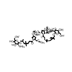 COOP(=O)(OC(C)C)O[C@@H]1C[C@@H](COP(=O)(O)O[C@@H]2C[C@@H](COCO)N(C(=O)CCC(C)(C)CC(C)COC3OC(CO)C(O)C(O)C3NC(C)=O)C2)N(C(=O)CCC(C)(C)CC(C)(C)COC2OC(CO)C(O)C(O)C2NC(C)=O)C1